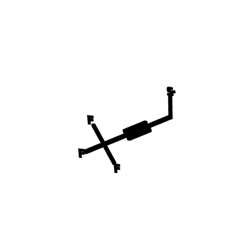 FC(F)(F)C#CC[S]